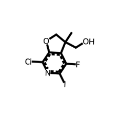 CC1(CO)COc2c(Cl)nc(I)c(F)c21